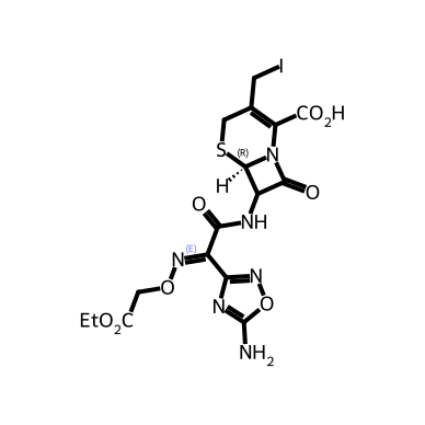 CCOC(=O)CO/N=C(/C(=O)NC1C(=O)N2C(C(=O)O)=C(CI)CS[C@H]12)c1noc(N)n1